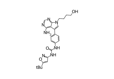 CC(C)(C)c1cc(NC(=O)Nc2ccc(-c3cn(CCCCO)c4ncnc(N)c34)cc2)no1